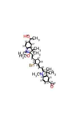 COC1(/C=C/C2=C(Br)C(=C/C=C3\N(C)c4ccc(C5CO5)cc4C3(C)C)/CC2)N(C)c2ccc(C(C)O)cc2C1(C)C